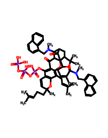 CC(C)=CCCC1(C)C=Cc2c(c(CC=C(C)C)c3c(c2OP(=O)(O)OP(=O)(O)OP(=O)(O)O)C(=O)C2C(N(C)Cc4cccc5ccccc45)C4CC5C(C)(C)OC(C/C=C(/C)C(=O)N(C)Cc6cccc7ccccc67)(C4=O)C25O3)O1